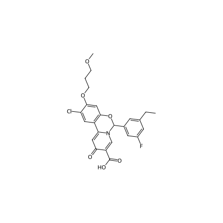 CCc1cc(F)cc(C2Oc3cc(OCCCOC)c(Cl)cc3-c3cc(=O)c(C(=O)O)cn32)c1